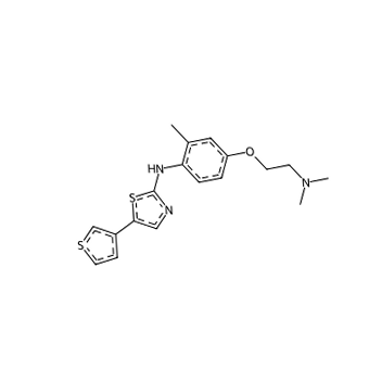 Cc1cc(OCCN(C)C)ccc1Nc1ncc(-c2ccsc2)s1